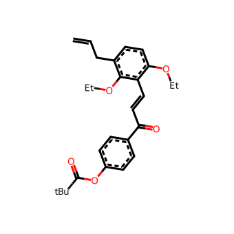 C=CCc1ccc(OCC)c(C=CC(=O)c2ccc(OC(=O)C(C)(C)C)cc2)c1OCC